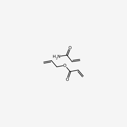 C=CC(N)=O.C=CCOC(=O)C=C